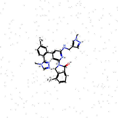 Cn1cc(CNc2cc(-c3cc(C#N)ccc3-c3nncn3C)cc(N3Cc4c(cccc4C(F)(F)F)C3=O)n2)cn1